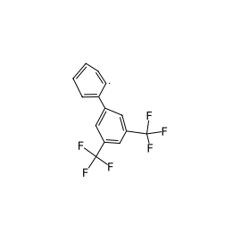 FC(F)(F)c1cc(-c2[c]cccc2)cc(C(F)(F)F)c1